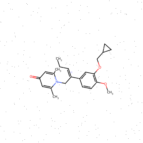 CC/C=C(\Cn1c(C)cc(=O)cc1C)c1ccc(OC)c(OCC2CC2)c1